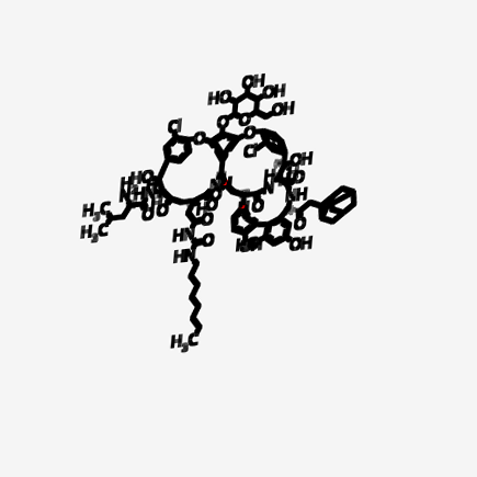 CCCCCCCCNC(=O)NC(=O)C[C@@H]1CC(=O)[C@H](NC(=O)[C@H](N)CC(C)C)[C@H](O)c2ccc(c(Cl)c2)Oc2cc3cc(c2OC2OC(CO)C(O)C(O)C2O)Oc2ccc(cc2Cl)[C@@H](O)[C@@H]2NC(=O)[C@H](CC(=O)[C@@H]3NC1=O)c1ccc(O)c(c1)-c1c(O)cc(O)cc1[C@@H](C(=O)CC1C3CC4CC(C3)CC1C4)NC2=O